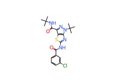 CC(C)(C)NC(=O)c1nn(C(C)(C)C)c2nc(NC(=O)c3cccc(Cl)c3)sc12